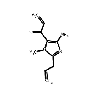 C=CCc1nc(N)c(C(=O)C=C)n1C